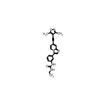 Cc1noc(C)c1C#Cc1ccn2c(-c3cccc(NC(=O)NCC(F)(F)F)c3)cnc2c1